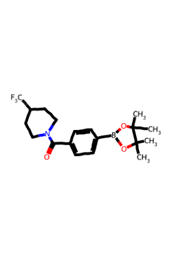 CC1(C)OB(c2ccc(C(=O)N3CCC(C(F)(F)F)CC3)cc2)OC1(C)C